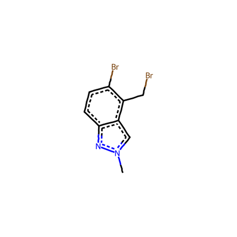 Cn1cc2c(CBr)c(Br)ccc2n1